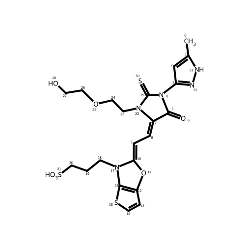 Cc1cc(N2C(=O)C(=CC=C3Oc4ccsc4N3CCCS(=O)(=O)O)N(CCOCCO)C2=S)n[nH]1